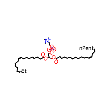 CC/C=C\C/C=C\C/C=C\CCCCCCCC(=O)O[C@H](COC(=O)CCCCCCCCCCC/C=C\C/C=C\CCCCC)COP(=O)([O-])OCC[N+](C)(C)C